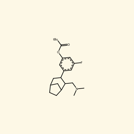 CN(C)CC1C2CCC(C2)CC1c1cc(F)cc(OC(=O)C(C)(C)C)c1